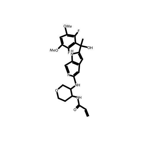 C=CC(=O)NC1CCOCC1Nc1cc2cc(C(C)(O)c3c(F)c(OC)cc(OC)c3F)[nH]c2cn1